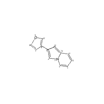 c1ccn2cc(-c3ccoc3)cc2c1